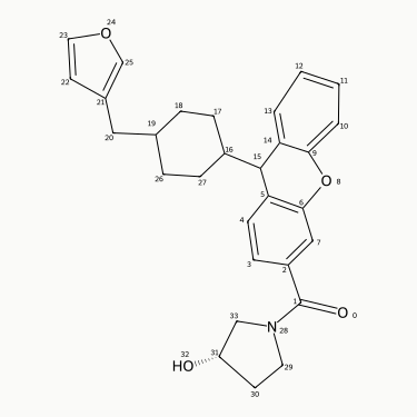 O=C(c1ccc2c(c1)Oc1ccccc1C2C1CCC(Cc2ccoc2)CC1)N1CC[C@H](O)C1